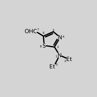 CCN(CC)c1ncc(C=O)s1